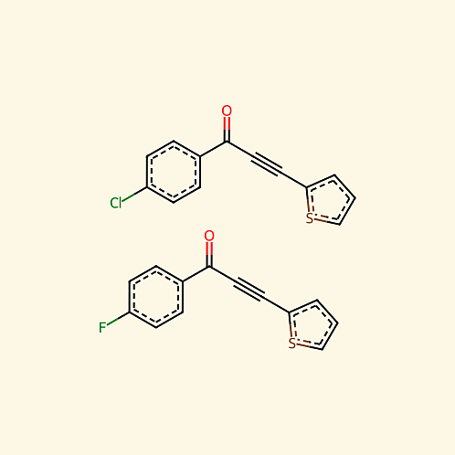 O=C(C#Cc1cccs1)c1ccc(Cl)cc1.O=C(C#Cc1cccs1)c1ccc(F)cc1